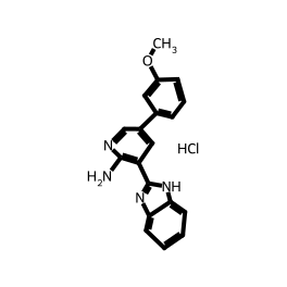 COc1cccc(-c2cnc(N)c(-c3nc4ccccc4[nH]3)c2)c1.Cl